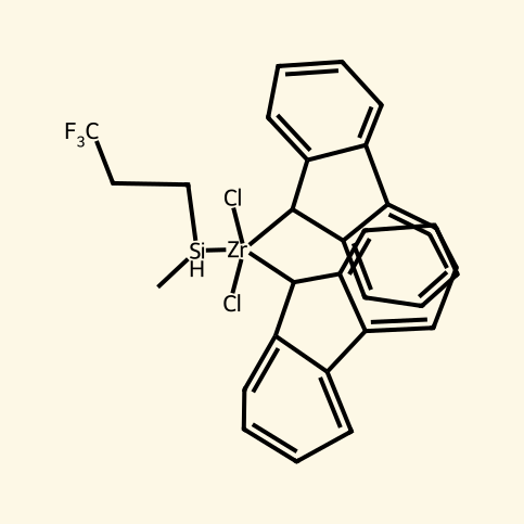 C[SiH](CCC(F)(F)F)[Zr]([Cl])([Cl])([CH]1c2ccccc2-c2ccccc21)[CH]1c2ccccc2-c2ccccc21